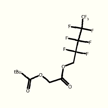 CC(C)(C)C(=O)OCC(=O)OCC(F)(F)C(F)(F)C(F)(F)C(F)(F)F